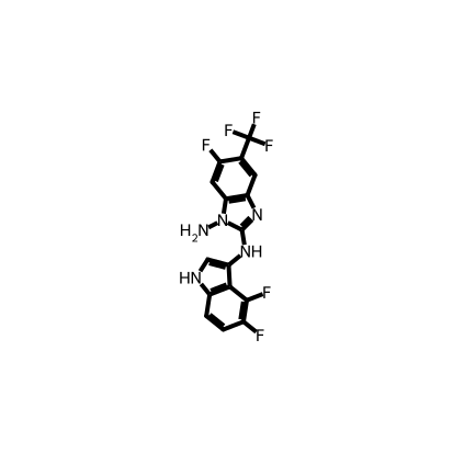 Nn1c(Nc2c[nH]c3ccc(F)c(F)c23)nc2cc(C(F)(F)F)c(F)cc21